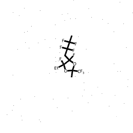 CCC1(F)OC(C)(C(F)(F)F)OC1(F)CC(F)(F)C(C)(F)F